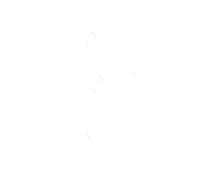 C=Cn1cc(C2=C(c3nn(CCCN(C)C)c4ccccc34)C(=O)NC2=O)c2cc(Cl)ccc21